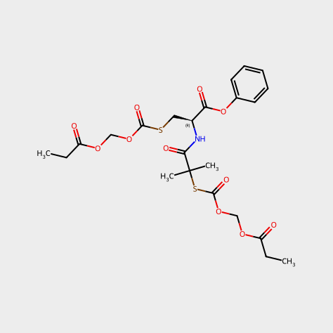 CCC(=O)OCOC(=O)SC[C@H](NC(=O)C(C)(C)SC(=O)OCOC(=O)CC)C(=O)Oc1ccccc1